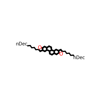 CCCCCCCCCCCCCCCc1cc2cc3c(ccc4c5cc6cc(CCCCCCCCCCCCCCC)oc6cc5ccc34)cc2o1